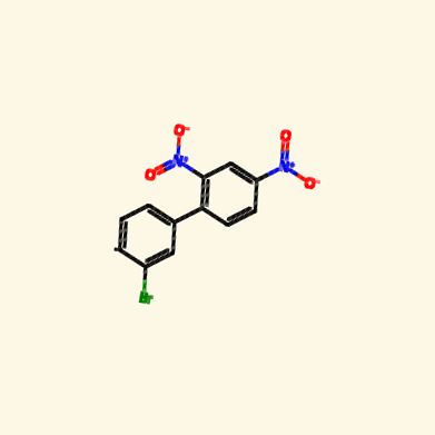 O=[N+]([O-])c1ccc(-c2cc[c]c(Br)c2)c([N+](=O)[O-])c1